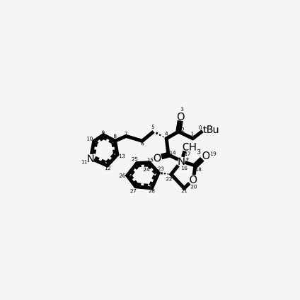 CC(C)(C)CC(=O)[C@@H](CCCc1ccncc1)C(=O)[N+]1(C)C(=O)OC[C@@H]1c1ccccc1